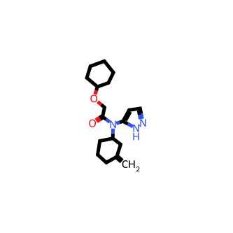 C=C1CCCC(N(C(=O)COC2CCCCC2)c2ccn[nH]2)C1